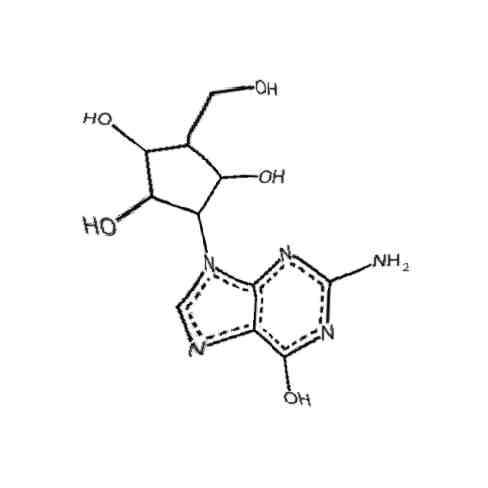 Nc1nc(O)c2ncn(C3C(O)C(O)C(CO)C3O)c2n1